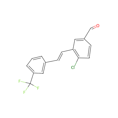 O=Cc1ccc(Cl)c(/C=C/c2cccc(C(F)(F)F)c2)c1